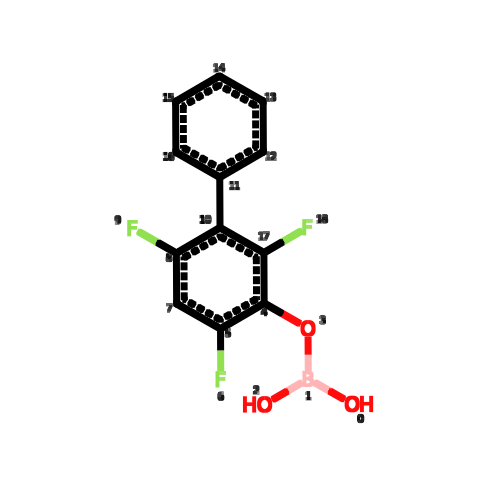 OB(O)Oc1c(F)cc(F)c(-c2ccccc2)c1F